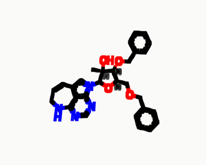 C[C@]1(O)C(n2cc3c4c(ncnc42)NCC=C3)O[C@H](COCc2ccccc2)[C@H]1OCc1ccccc1